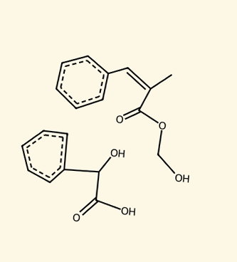 CC(=Cc1ccccc1)C(=O)OCO.O=C(O)C(O)c1ccccc1